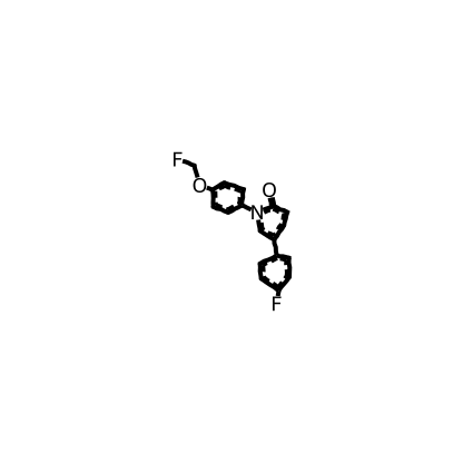 O=c1ccc(-c2ccc(F)cc2)cn1-c1ccc(OCF)cc1